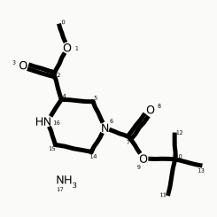 COC(=O)C1CN(C(=O)OC(C)(C)C)CCN1.N